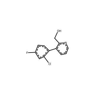 OCc1ncccc1-c1ccc(F)cc1Cl